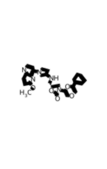 COc1ccc2nccc(N3CCC(NC[C@@H]4CN(C5=COC=C(C6=CC=CCC6)O5)C(=O)O4)C3)c2n1